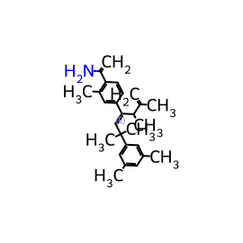 C=C(N)c1ccc(/C(=C/C(C)(C)c2cc(C)cc(C)c2)C(C)C(=C)C)cc1C